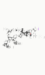 CCCCC(CC)CC1(CC(CC)CCCC)c2cc(I)ccc2-c2ccc(-c3ccc4c(c3)C(CC(C)CC)(CC(C)CC)c3cc(-c5ccc6c(c5)C(CC(C)CC)(CC(C)CC)c5c-6c6c(c7c5=CC5=CC(CC(C)CC)(CC(C)CC)C=CC=75)C=C5C=CC(CC(C)CC)(CC(C)CC)C=C56)ccc3-4)cc21